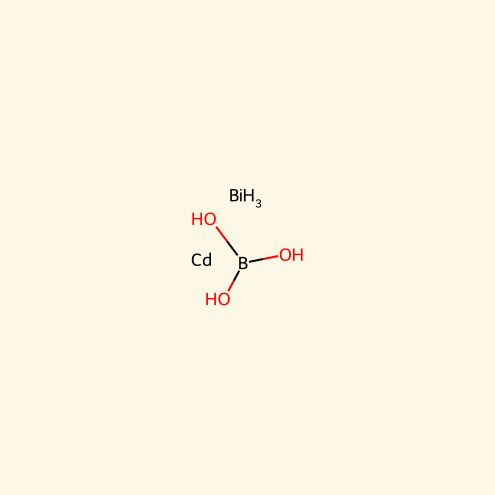 OB(O)O.[BiH3].[Cd]